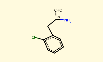 N[C@@H](C=O)Cc1ccccc1Cl